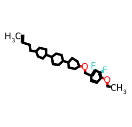 C/C=C/CCC1CCC(C2CCC(C3CCC(OCc4ccc(OCC)c(F)c4F)CC3)CC2)CC1